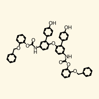 O=C(Nc1ccc(Oc2ccc(NC(=O)Oc3ccccc3OCc3ccccc3)cc2-c2ccc(O)cc2)c(-c2ccc(O)cc2)c1)Oc1ccccc1OCc1ccccc1